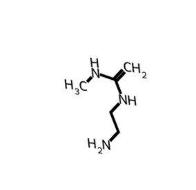 C=C(NC)NCCN